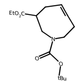 CCOC(=O)C1CC=CCCN(C(=O)OC(C)(C)C)C1